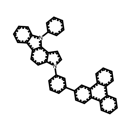 c1ccc(-n2c3ccccc3c3ccc4c(ccn4-c4cccc(-c5ccc6c7ccccc7c7ccccc7c6c5)c4)c32)cc1